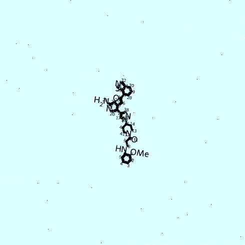 COc1ccccc1NCCC(=O)N1CCC(n2cc(-c3cnc(N)c4oc(-c5cccc6cnsc56)cc34)cn2)CC1